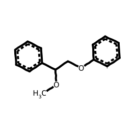 COC(COc1[c]cccc1)c1ccccc1